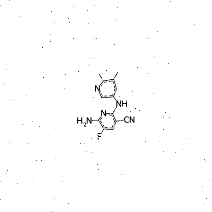 Cc1cc(Nc2nc(N)c(F)cc2C#N)cnc1C